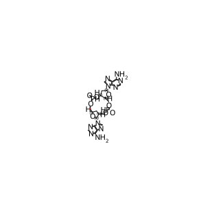 Nc1ncnc2c1ncn2[C@@H]1O[C@@H]2CO[PH](=O)O[C@H]3C[C@H](n4cnc5c(N)ncnc54)O[C@@H]3CO[PH](=O)O[C@@H]1C2